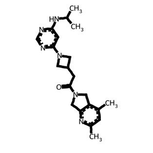 Cc1cc(C)c2c(n1)CN(C(=O)CC1CN(c3cc(NC(C)C)ncn3)C1)C2